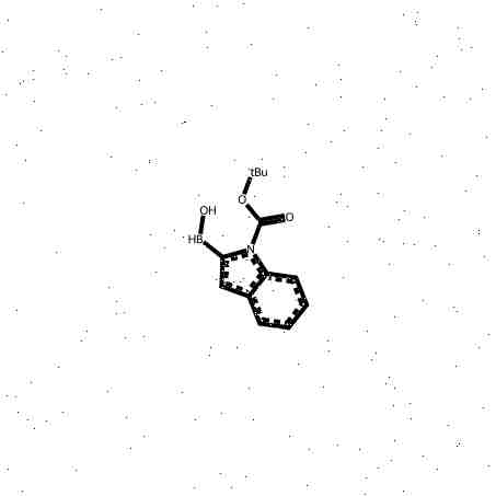 CC(C)(C)OC(=O)n1c(BO)cc2ccccc21